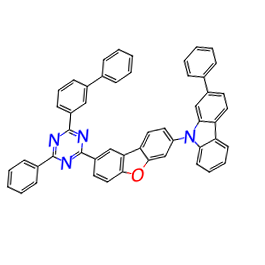 c1ccc(-c2cccc(-c3nc(-c4ccccc4)nc(-c4ccc5oc6cc(-n7c8ccccc8c8ccc(-c9ccccc9)cc87)ccc6c5c4)n3)c2)cc1